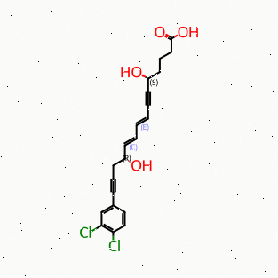 O=C(O)CCC[C@H](O)C#C/C=C/C=C/[C@H](O)CC#Cc1ccc(Cl)c(Cl)c1